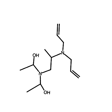 C=CCN(CC=C)C(C)CN(C(C)O)C(C)O